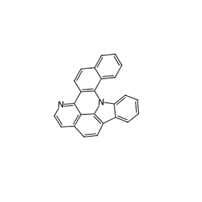 c1ccc2c(c1)ccc1c3nccc4ccc5c6ccccc6n(c21)c5c43